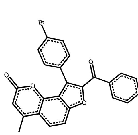 Cc1cc(=O)oc2c1ccc1oc(C(=O)c3ccccc3)c(-c3ccc(Br)cc3)c12